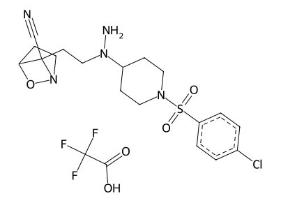 N#CC1(CCN(N)C2CCN(S(=O)(=O)c3ccc(Cl)cc3)CC2)C2CCN1O2.O=C(O)C(F)(F)F